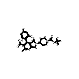 Cc1nc2c(c(-c3ccc(Cl)cc3Cl)c1C(=O)O)C(=O)N(C1CCN(C(=O)OC(C)(C)C)CC1)C2